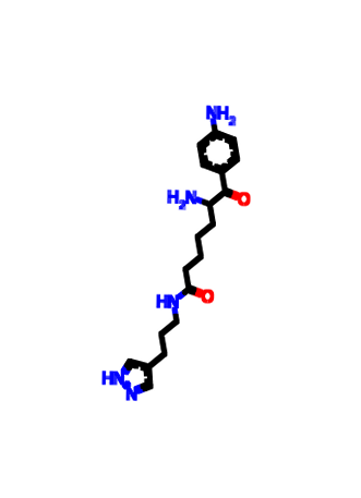 Nc1ccc(C(=O)C(N)CCCCC(=O)NCCCc2cn[nH]c2)cc1